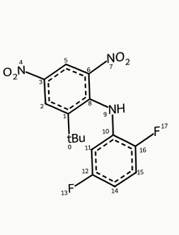 CC(C)(C)c1cc([N+](=O)[O-])cc([N+](=O)[O-])c1Nc1cc(F)ccc1F